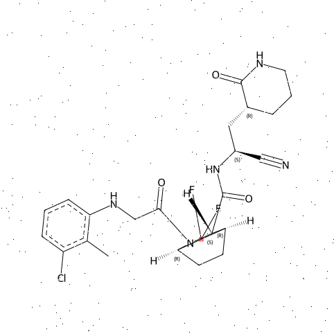 Cc1c(Cl)cccc1NCC(=O)N1[C@@H]2CC[C@H]([C@H]1C(=O)N[C@H](C#N)C[C@H]1CCCNC1=O)C(F)(F)C2